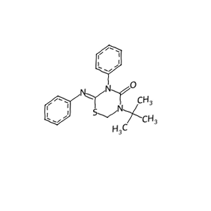 CC(C)(C)N1CS/C(=N\c2ccccc2)N(c2ccccc2)C1=O